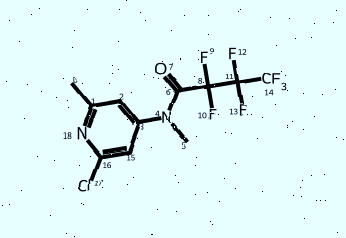 Cc1cc(N(C)C(=O)C(F)(F)C(F)(F)C(F)(F)F)cc(Cl)n1